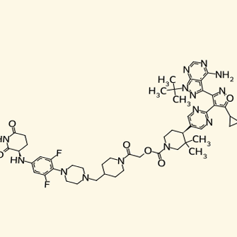 CC1(C)CN(C(=O)OCC(=O)N2CCC(CN3CCN(c4c(F)cc(N[C@@H]5CCC(=O)NC5=O)cc4F)CC3)CC2)CC[C@H]1c1cnc(-c2c(-c3nn(C(C)(C)C)c4ncnc(N)c34)noc2C2CC2)nc1